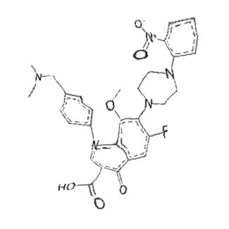 COc1c(N2CCN(c3ccccc3[N+](=O)[O-])CC2)c(F)cc2c(=O)c(C(=O)O)cn(-c3ccc(CN(C)C)cc3)c12